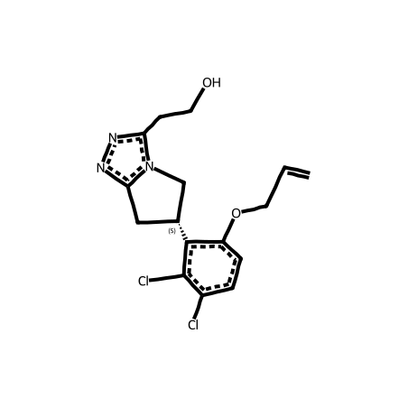 C=CCOc1ccc(Cl)c(Cl)c1[C@@H]1Cc2nnc(CCO)n2C1